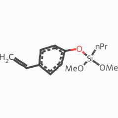 C=Cc1ccc(O[Si](CCC)(OC)OC)cc1